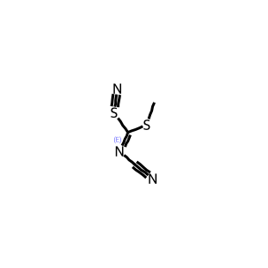 CS/C(=N\C#N)S#N